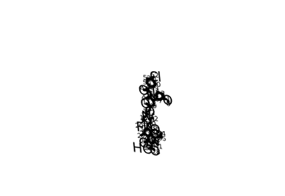 COc1ccc2c(c1)c(CC(=O)OCN1CCN(c3c(F)c(C)c4c(=O)c(C(=O)O)c(C)n(C5CC5)c4c3OC)CC1C)c(C)n2C(=O)c1ccc(Cl)cc1